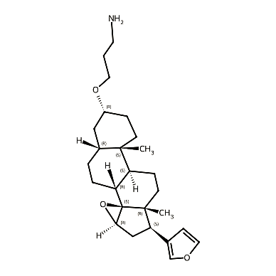 C[C@]12CC[C@@H](OCCCN)C[C@H]1CC[C@@H]1[C@@H]2CC[C@]2(C)[C@@H](c3ccoc3)C[C@H]3O[C@]132